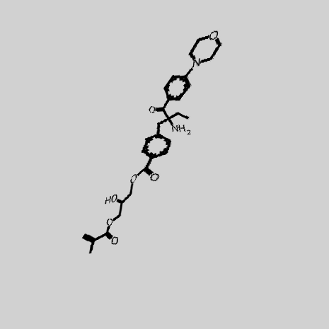 C=C(C)C(=O)OCC(O)COC(=O)c1ccc(CC(N)(CC)C(=O)c2ccc(N3CCOCC3)cc2)cc1